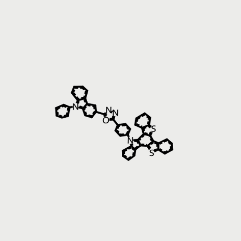 c1ccc(-n2c3ccccc3c3cc(-c4nnc(-c5ccc(-n6c7ccccc7c7c8sc9ccccc9c8c8sc9ccccc9c8c76)cc5)o4)ccc32)cc1